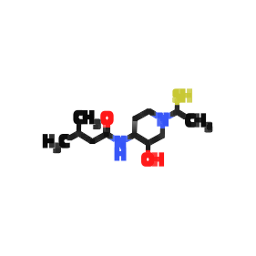 CC(C)CC(=O)NC1CCN(C(C)S)CC1O